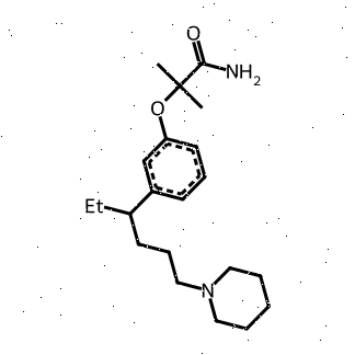 CCC(CCCN1CCCCC1)c1cccc(OC(C)(C)C(N)=O)c1